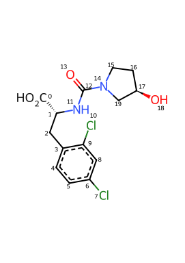 O=C(O)[C@@H](Cc1ccc(Cl)cc1Cl)NC(=O)N1CC[C@@H](O)C1